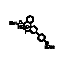 CCCCCCCCCCOc1ccc(C2C=CC(C(=O)O)(c3ccccc3C(=O)OC[C@@H](C)CC)C(F)=C2)cc1